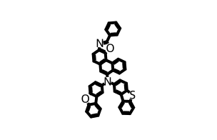 c1ccc(-c2nc3ccc4cc(N(c5ccc6oc7ccccc7c6c5)c5ccc6sc7ccccc7c6c5)c5ccccc5c4c3o2)cc1